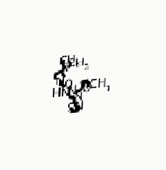 CCN(CC)C1CCN(CC(=O)Nc2cc(-c3nccs3)nc(-c3ccc(C)o3)n2)C1